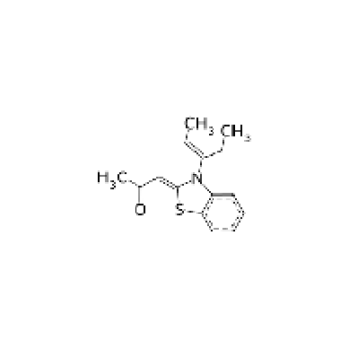 C/C=C(\CC)N1/C(=C/C(C)=O)Sc2ccccc21